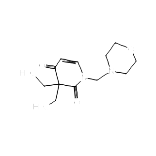 CCC1(CC)C(=O)C=CN(CN2CCOCC2)C1=O